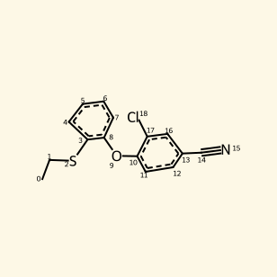 CCSc1ccccc1Oc1ccc(C#N)cc1Cl